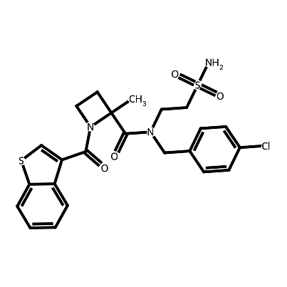 CC1(C(=O)N(CCS(N)(=O)=O)Cc2ccc(Cl)cc2)CCN1C(=O)c1csc2ccccc12